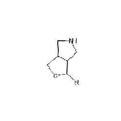 CCC1OCC2CNCC21